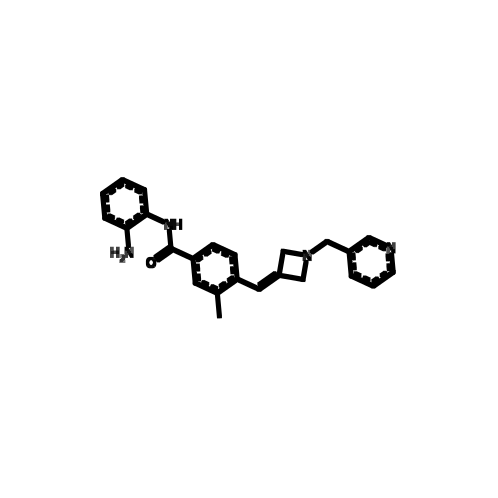 Cc1cc(C(=O)Nc2ccccc2N)ccc1C=C1CN(Cc2cccnc2)C1